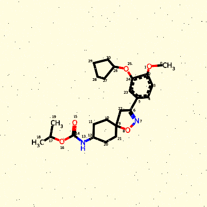 COc1ccc(C2=NOC3(CCC(NC(=O)OC(C)C)CC3)C2)cc1OC1CCCC1